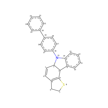 C1=CC2C(C3=C1CCS3)c1ccccc1N2c1ccc(-c2ccccc2)cc1